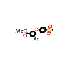 COC(=O)c1cc(Oc2ccc(S(C)(=O)=O)cc2)cc(C(C)=O)c1